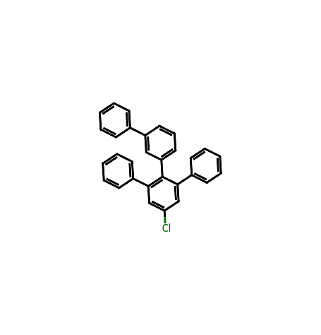 Clc1cc(-c2ccccc2)c(-c2cccc(-c3ccccc3)c2)c(-c2ccccc2)c1